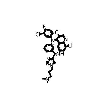 CN(C)CCCn1cc([C@@H](Nc2cc(Cl)c3ncc(C#N)c(Nc4ccc(F)c(Cl)c4)c3c2)c2ccccc2)nn1